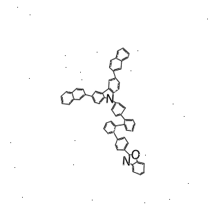 c1ccc(-c2ccccc2-c2ccc(-n3c4ccc(-c5ccc6ccccc6c5)cc4c4cc(-c5ccc6ccccc6c5)ccc43)cc2)c(-c2ccc(-c3nc4ccccc4o3)cc2)c1